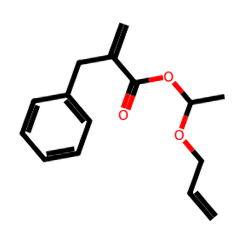 C=CCOC(C)OC(=O)C(=C)Cc1ccccc1